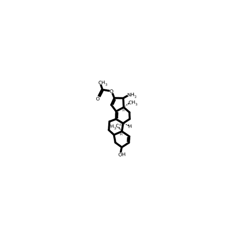 CC(=O)OC1=CC2=C3CCC4CC(O)C=C[C@]4(C)[C@@H]3CC[C@]2(C)C1N